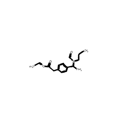 CCCN(C=O)C(C)c1ccc(CC(=O)OCC)cc1